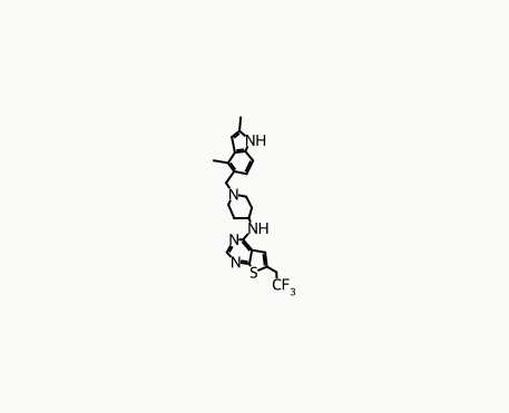 Cc1cc2c(C)c(CN3CCC(Nc4ncnc5sc(CC(F)(F)F)cc45)CC3)ccc2[nH]1